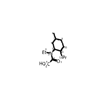 CCN(C(=O)C(=O)O)C1CC(C)CCC1C(C)C